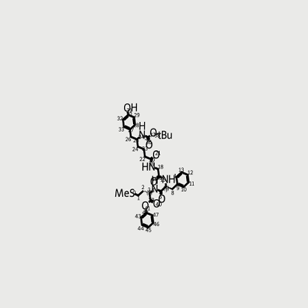 CSCC[C@H](NC(=O)[C@H](Cc1ccccc1)NC(=O)CNC(=O)CCCC(Cc1ccc(O)cc1)NC(=O)OC(C)(C)C)C(=O)Oc1ccccc1